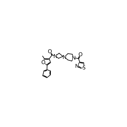 Cc1oc(-c2ccccc2)cc1C(=O)N1CC(N2CCN(C(=O)c3cscn3)CC2)C1